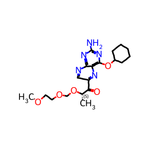 COCCOCO[C@@H](C)C(=O)c1cnc2nc(N)nc(OC3CCCCC3)c2n1